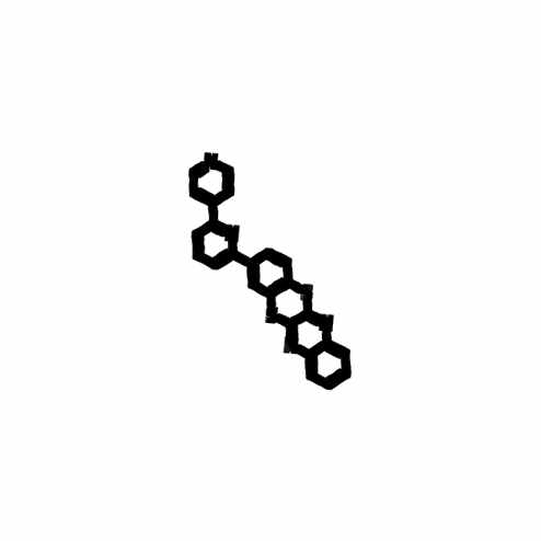 c1cc(-c2ccncc2)nc(-c2ccc3c(c2)Sc2nc4ccccc4nc2S3)c1